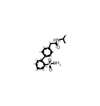 CC(C)NC(=O)Cc1ccc(-c2ccccc2S(N)(=O)=O)cc1